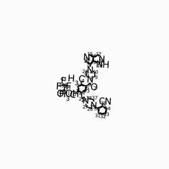 Cc1cc(C)c(C(=O)N2CCN(c3cncc4cn[nH]c34)CC2)cc1CN1CCN(c2ccccc2C#N)CC1.O=C(O)C(F)(F)F